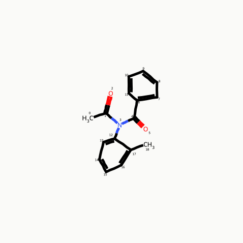 CC(=O)N(C(=O)c1ccccc1)c1ccccc1C